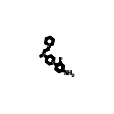 CN(CCN1CCCCC1)C1CCN(c2ccc(N)cc2F)CC1